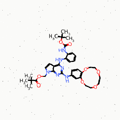 CC(C)(C)OC(=O)Nc1ccccc1Nc1nc(Nc2ccc3c(c2)OCCOCCOCCO3)nc2c1ccn2COC(=O)C(C)(C)C